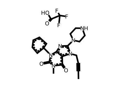 CC#CCn1c(N2CCNCC2)nc2c1c(=O)n(C)c(=O)n2-c1ccccc1.O=C(O)C(F)(F)F